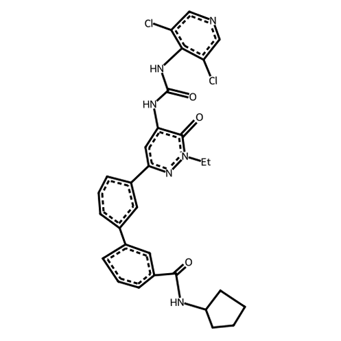 CCn1nc(-c2cccc(-c3cccc(C(=O)NC4CCCC4)c3)c2)cc(NC(=O)Nc2c(Cl)cncc2Cl)c1=O